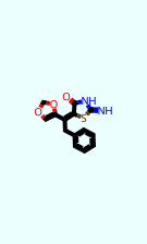 N=C1NC(=O)C(=C(Cc2ccccc2)C2=COCO2)S1